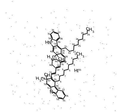 CCCCCCCCCCC1=C(C=CC2=CC(=CC=C3C(CCCCCCCCCC)=c4c([nH]c5ccccc45)=CC3(C)C)CCC2)C(C)(C)C=C2N=c3ccccc3=C21.I